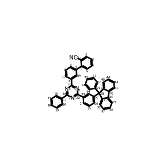 N#Cc1ccccc1-c1cccc(-c2nc(-c3ccccc3)nc(-c3cccc(C4(c5ccccc5)c5ccccc5-c5ccccc54)c3)n2)c1